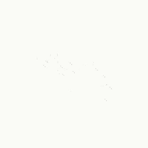 O=C(CN1CCN(C(=O)c2ccc(Nc3nccn4c(-c5cn(CC(F)F)nc5C(F)(F)F)cnc34)cc2Cl)CC1)NC1CCNC1.O=CO